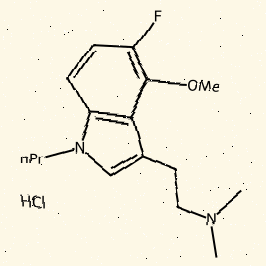 CCCn1cc(CCN(C)C)c2c(OC)c(F)ccc21.Cl